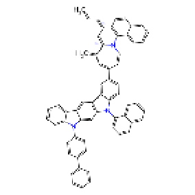 C=C/C=C\C=C1\C(=C)C=C(c2ccc3c(c2)c2cc4c5ccccc5n(-c5ccc(-c6ccccc6)cc5)c4cc2n3-c2cccc3ccccc23)C=CN1c1cccc2ccccc12